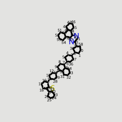 c1cc(-c2ccc(-c3ccc(-c4ccc(-c5cccc6c5sc5ccccc56)cc4)c4ccccc34)cc2)cc(-c2cnc3c4ccccc4c4ccccc4c3n2)c1